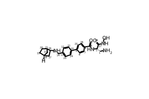 NC[C@H](NC(=O)c1ccc(-c2ccc(CNC3C[C@@H]4CCC3C4)cc2)cc1)C(=O)NO